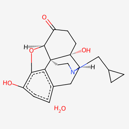 O.O=C1CC[C@@]2(O)[C@H]3Cc4ccc(O)c5c4[C@@]2(CCN3CC2CC2)[C@H]1O5